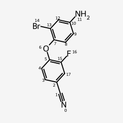 N#Cc1ccc(Oc2ccc(N)cc2Br)c(F)c1